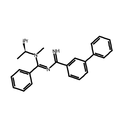 CC(C)[C@H](C)N(C)/C(=N\C(=N)c1cccc(-c2ccccc2)c1)c1ccccc1